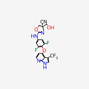 N#C[C@@]1(CO)CN=C(Nc2cc(F)c(Oc3ccnc4[nH]cc(C(F)(F)F)c34)c(F)c2)OC1